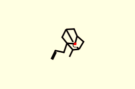 C=CCC12CC3CC(CC(C3)C1C)C2